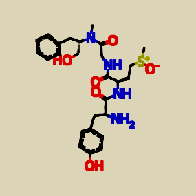 CN(C(=O)CNC(=O)[C@@H](CC[S+](C)[O-])NC(=O)[C@@H](N)Cc1ccc(O)cc1)[C@H](CO)Cc1ccccc1